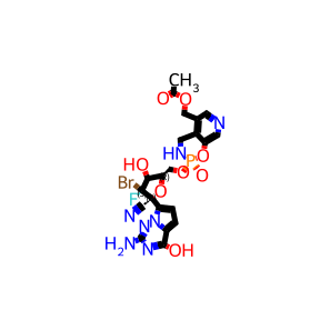 CC(=O)OCc1cncc2c1CNP(=O)(OC[C@H]1O[C@@](C#N)(c3ccc4c(O)nc(N)nn34)[C@@](F)(Br)C1O)O2